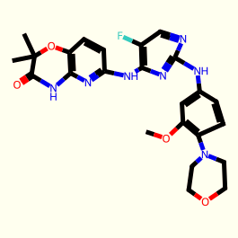 COc1cc(Nc2ncc(F)c(Nc3ccc4c(n3)NC(=O)C(C)(C)O4)n2)ccc1N1CCOCC1